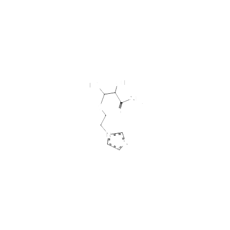 CC(SCCn1ccnc1)C(C)C(N)=O